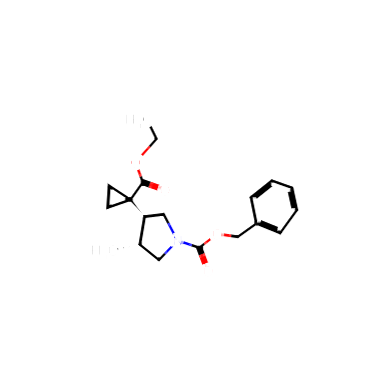 CCOC(=O)C1([C@H]2CN(C(=O)OCc3ccccc3)C[C@@H]2C)CC1